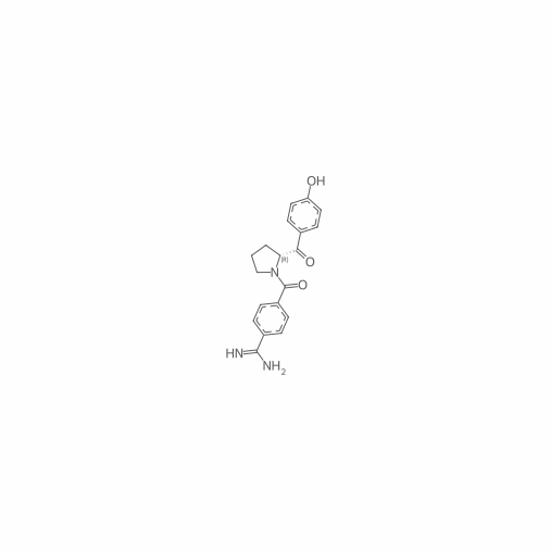 N=C(N)c1ccc(C(=O)N2CCC[C@@H]2C(=O)c2ccc(O)cc2)cc1